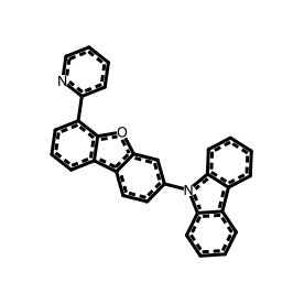 c1ccc(-c2cccc3c2oc2cc(-n4c5ccccc5c5ccccc54)ccc23)nc1